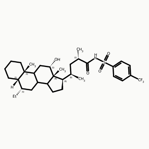 CC[C@H]1CC2C3CC[C@H]([C@H](C)C[C@H](C)C(=O)NS(=O)(=O)c4ccc(C(F)(F)F)cc4)[C@@]3(C)[C@@H](O)CC2[C@@]2(C)CCCC[C@@H]12